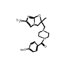 COc1ccc(C(=O)N2CCN(CC3(C)Cn4cc([N+](=O)[O-])nc4O3)CC2)cc1